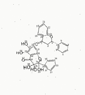 O=C1CC(c2ccccc2)Oc2ccccc21.O=C1c2c(ccc(O)c2O)OC(O)(c2ccccc2)C1(O)O